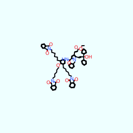 CCOC(=O)C=Cc1cc(C(=O)Nc2cc(CCCCCCN3C(=O)c4ccccc4C3=O)c(OCCCCCCN3C(=O)c4ccccc4C3=O)c(CCCCCCN3C(=O)c4ccccc4C3=O)c2)n(Cc2ccccc2)c1C#CC(O)(c1ccccc1)c1ccccc1